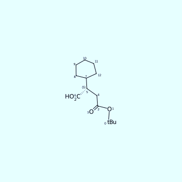 CC(C)(C)OC(=O)C[C@H](C(=O)O)C1CCCCC1